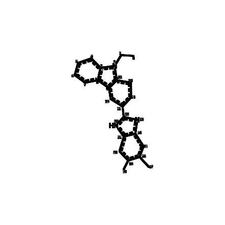 CCn1c2ccccc2c2cc(-c3nc4cc(C)c(C)cc4[nH]3)ccc21